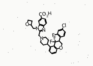 O=C(O)c1ccc2nc(CN3CCC(c4cccc5c4C(F)(F)C(c4ccc(Cl)cc4F)CO5)CC3)n(CC3CCO3)c2c1